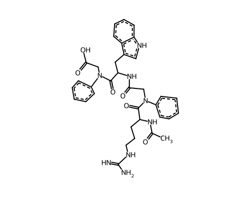 CC(=O)NC(CCCNC(=N)N)C(=O)N(CC(=O)NC(Cc1c[nH]c2ccccc12)C(=O)N(CC(=O)O)c1ccccc1)c1ccccc1